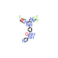 O=C(Nc1ccncc1)Nc1ccc(-c2nc(N3CC4CC(F)C(C3)O4)c3cnn(CC(F)(F)F)c3n2)cc1